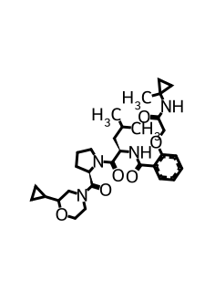 CC(C)C[C@@H](NC(=O)c1ccccc1OCC(=O)NC1(C)CC1)C(=O)N1CCC[C@@H]1C(=O)N1CCOC(C2CC2)C1